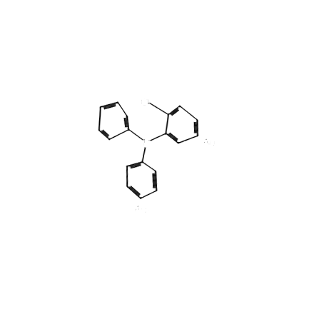 Clc1ccccc1P(c1ccccc1)c1ccccc1.[Au+3].[Au+]